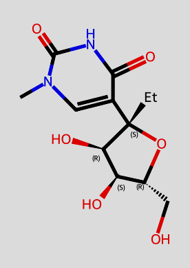 CC[C@@]1(c2cn(C)c(=O)[nH]c2=O)O[C@H](CO)[C@@H](O)[C@H]1O